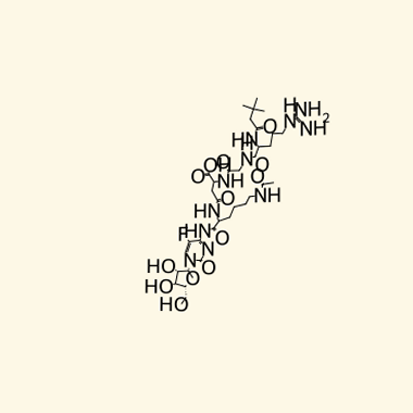 CC(=O)NCCCCC(NC(=O)CC(NC(=O)CNC(=O)C(CCCNC(=N)N)NC(=O)CC(C)(C)C)C(=O)O)C(=O)Nc1nc(=O)n([C@@H]2O[C@H](CO)C(O)[C@@H]2O)cc1F